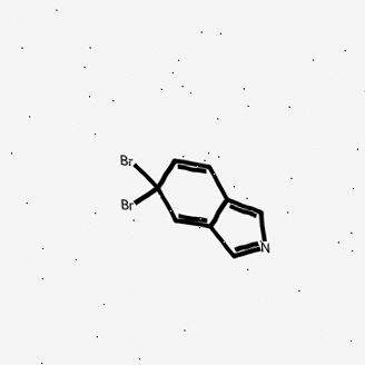 BrC1(Br)C=CC2=CN=CC2=C1